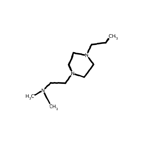 CCCN1CCN(CCN(C)C)CC1